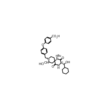 CCCCN1C(=O)[C@@H](C(O)C2CCCCC2)NC(=O)C12CCN(Cc1ccc(Oc3ccc(C(=O)O)cc3)cc1)CC2.Cl.Cl